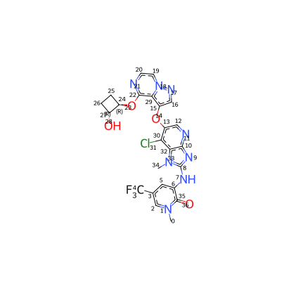 Cn1cc(C(F)(F)F)cc(Nc2nc3ncc(Oc4cnn5ccnc(O[C@@H]6CC[C@H]6O)c45)c(Cl)c3n2C)c1=O